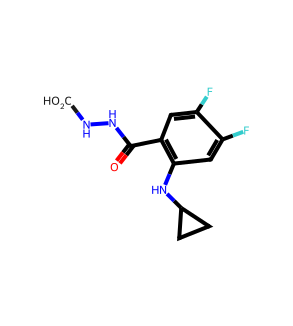 O=C(O)NNC(=O)c1cc(F)c(F)cc1NC1CC1